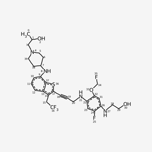 CC(O)CN1CCC(Nc2cccc3c(CC(F)(F)F)c(C#CCNc4cc(F)c(NCCO)cc4OCF)sc23)CC1